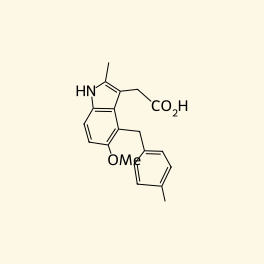 COc1ccc2[nH]c(C)c(CC(=O)O)c2c1Cc1ccc(C)cc1